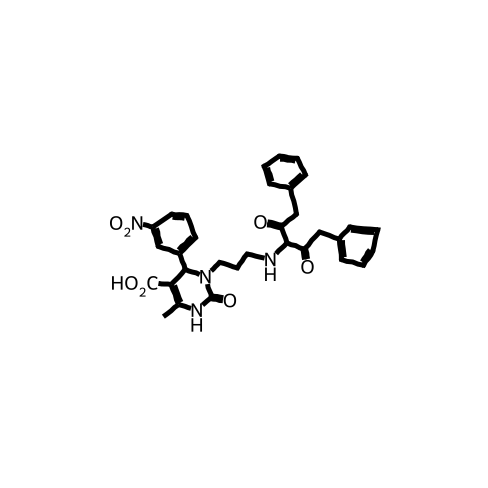 CC1=C(C(=O)O)C(c2cccc([N+](=O)[O-])c2)N(CCCNC(C(=O)Cc2ccccc2)C(=O)Cc2ccccc2)C(=O)N1